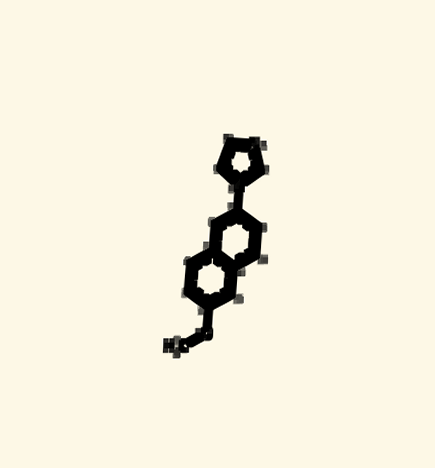 COc1ccc2cc(-n3ccnc3)ccc2c1